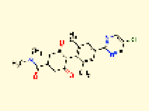 Cc1cc(-c2ncc(Cl)cn2)cc(C)c1C1C(=O)CC(C(=O)N(C)C)CC1=O